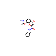 CC(Oc1cccc2c(=O)cc(C(=O)NCC3CCCCC3)oc12)N(C)C